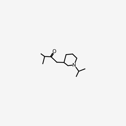 CC(C)C(=O)CC1CCCN(C(C)C)C1